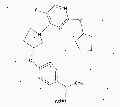 CC(=O)N[C@@H](C)c1ccc(O[C@@H]2CCN(c3nc(OC4CCCC4)ncc3F)C2)cc1